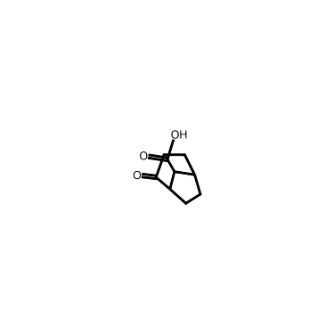 O=C1CCC2CCC1C2C(=O)O